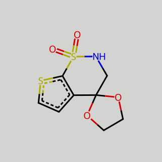 O=S1(=O)NCC2(OCCO2)c2ccsc21